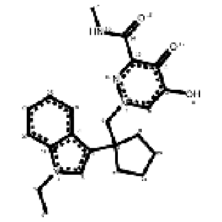 CCn1cc(C2(Cn3cc(O)c(=O)c(C(=O)NC)n3)CCCC2)c2ccccc21